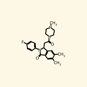 Cc1cc2c(cc1C)C(CC(=O)N1CCN(C)CC1)N(c1ccc(F)cc1)C2=O